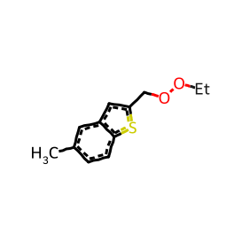 CCOOCc1cc2cc(C)ccc2s1